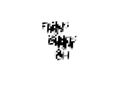 CCn1ncc2c(NC3CCC(=NO)CC3)c(C(=O)NC(C)c3ccc(C)cc3C)cnc21.CCn1ncc2c(NC3CCC(=NO)CC3)c(C(=O)NC(C)c3ccc(C)cc3C)cnc21